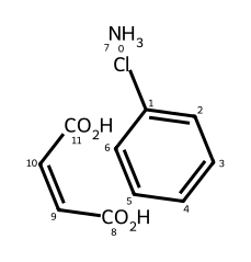 Clc1ccccc1.N.O=C(O)/C=C\C(=O)O